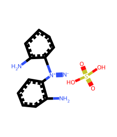 O=S(=O)(O)O.[N-]=[N+](c1ccccc1N)c1ccccc1N